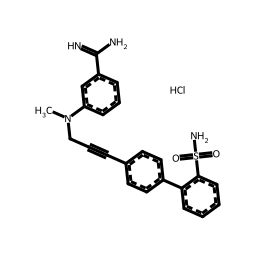 CN(CC#Cc1ccc(-c2ccccc2S(N)(=O)=O)cc1)c1cccc(C(=N)N)c1.Cl